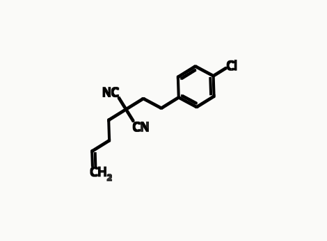 C=CCCC(C#N)(C#N)CCc1ccc(Cl)cc1